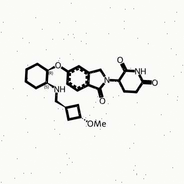 CO[C@H]1C[C@H](CN[C@H]2CCCC[C@H]2Oc2ccc3c(c2)CN(C2CCC(=O)NC2=O)C3=O)C1